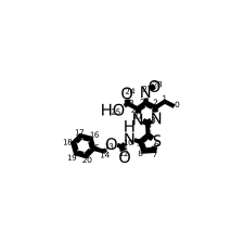 CCc1nc(-c2sccc2NC(=O)OCc2ccccc2)nc(C(=O)O)c1N=O